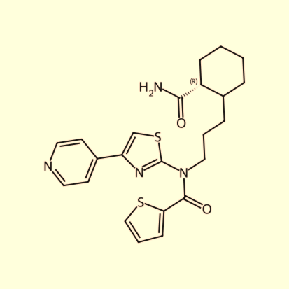 NC(=O)[C@@H]1CCCCC1CCCN(C(=O)c1cccs1)c1nc(-c2ccncc2)cs1